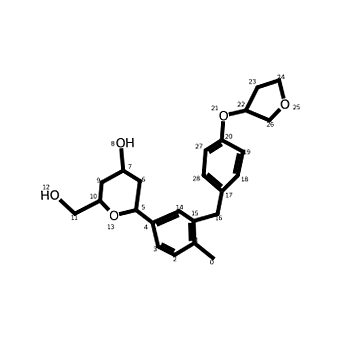 Cc1ccc(C2CC(O)CC(CO)O2)cc1Cc1ccc(OC2CCOC2)cc1